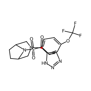 O=C(c1cnn[nH]1)N1CC2CCC(C1)N2S(=O)(=O)c1ccc(OC(F)(F)F)cc1